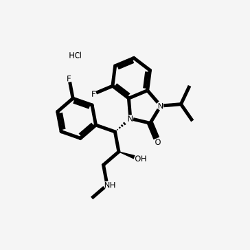 CNC[C@H](O)[C@H](c1cccc(F)c1)n1c(=O)n(C(C)C)c2cccc(F)c21.Cl